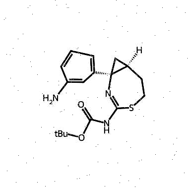 CC(C)(C)OC(=O)NC1=N[C@@]2(c3cccc(N)c3)C[C@H]2CCS1